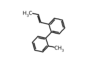 CC=Cc1ccccc1-c1ccccc1C